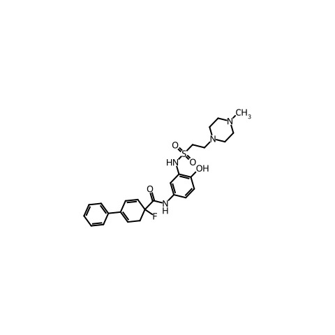 CN1CCN(CCS(=O)(=O)Nc2cc(NC(=O)C3(F)C=CC(c4ccccc4)=CC3)ccc2O)CC1